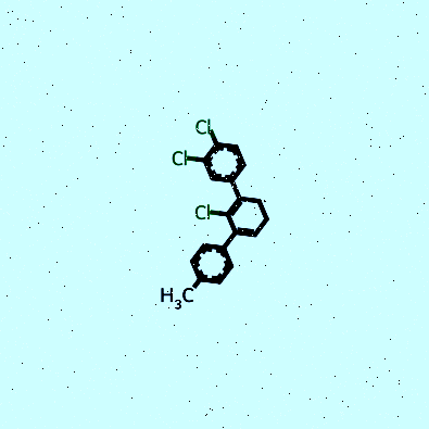 Cc1ccc(C2=CC[CH]C(c3ccc(Cl)c(Cl)c3)=C2Cl)cc1